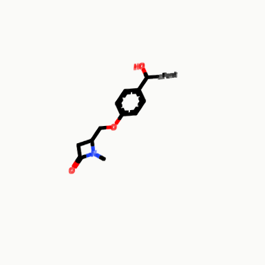 CCCCCC(O)c1ccc(OCC2CC(=O)N2C)cc1